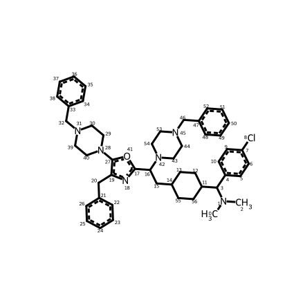 CN(C)C(c1ccc(Cl)cc1)C1CCC(CC(c2nc(Cc3ccccc3)c(N3CCN(Cc4ccccc4)CC3)o2)N2CCN(Cc3ccccc3)CC2)CC1